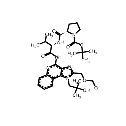 CCOCc1nc2c(NC(=O)[C@@H](NC(=O)[C@@H]3CCCN3C(=O)OC(C)(C)C)C(C)C)nc3ccccc3c2n1CC(C)(C)O